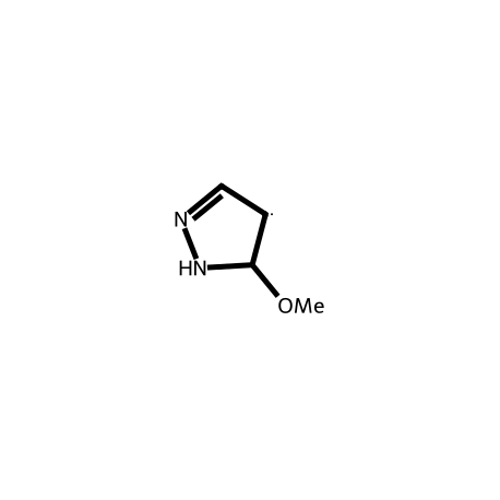 COC1[CH]C=NN1